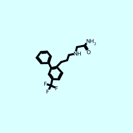 NC(=O)CNCCCc1ccc(C(F)(F)F)cc1-c1ccccc1